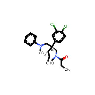 CN(C[C@@](CCC=O)(CN(C(=O)O)c1ccccc1)c1ccc(Cl)c(Cl)c1)C(=O)CC(F)(F)F